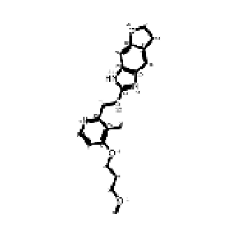 COCCCOc1ccnc(CSc2nc3cc4c(cc3[nH]2)OCC4)c1C